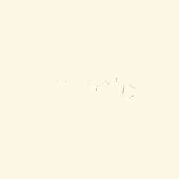 O=C(C=Cc1csc(C2CCN(C(=O)O)CC2)n1)c1c(F)cccc1F